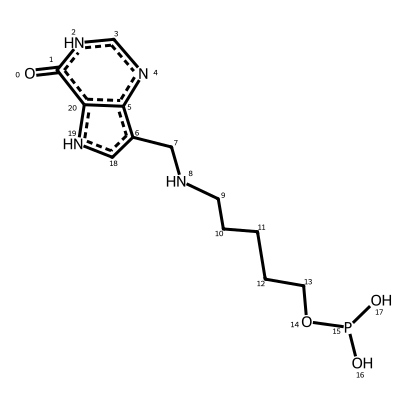 O=c1[nH]cnc2c(CNCCCCCOP(O)O)c[nH]c12